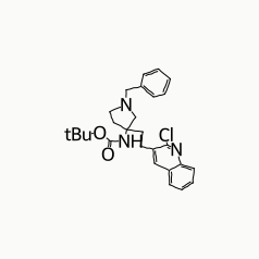 CC(C)(C)OC(=O)NC1(CCc2cc3ccccc3nc2Cl)CCN(Cc2ccccc2)C1